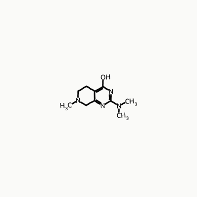 CN1CCc2c(O)nc(N(C)C)nc2C1